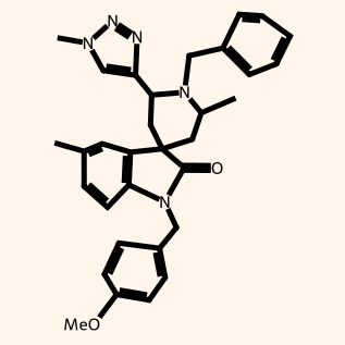 COc1ccc(CN2C(=O)C3(CC(C)N(Cc4ccccc4)C(c4cn(C)nn4)C3)c3cc(C)ccc32)cc1